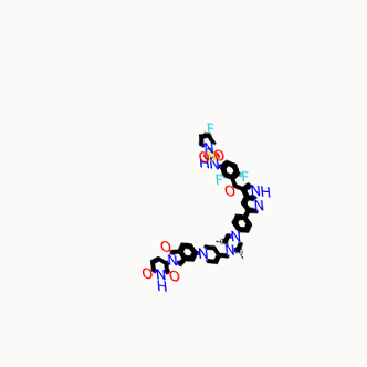 C[C@@H]1CN(c2ccc(-c3cnc4[nH]cc(C(=O)c5c(F)ccc(NS(=O)(=O)N6CC[C@@H](F)C6)c5F)c4c3)cc2)C[C@H](C)N1CC1CCN(c2ccc3c(c2)CN(C2CCC(=O)NC2=O)C3=O)CC1